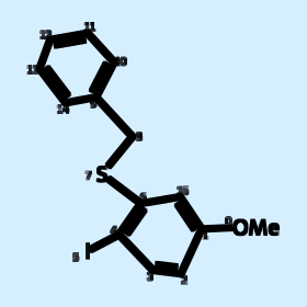 COc1ccc(I)c(SCc2ccccc2)c1